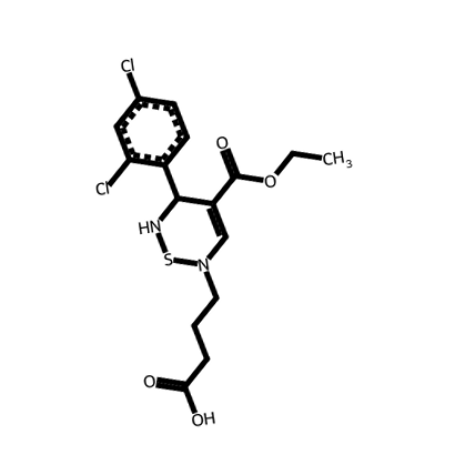 CCOC(=O)C1=CN(CCCC(=O)O)SNC1c1ccc(Cl)cc1Cl